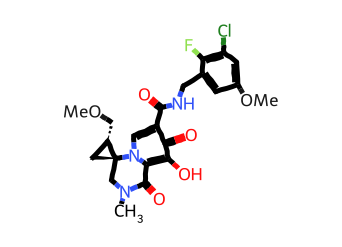 COC[C@H]1C[C@@]12CN(C)C(=O)c1c(O)c(=O)c(C(=O)NCc3cc(OC)cc(Cl)c3F)cn12